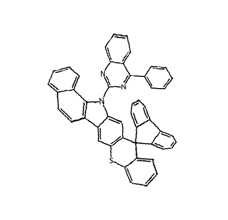 c1ccc(-c2nc(-n3c4cc5c(cc4c4ccc6ccccc6c43)Sc3ccccc3C53c4ccccc4-c4ccccc43)nc3ccccc23)cc1